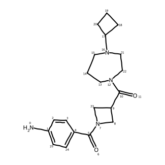 Nc1ccc(C(=O)N2CC(C(=O)N3CCCN(C4CCC4)CC3)C2)cc1